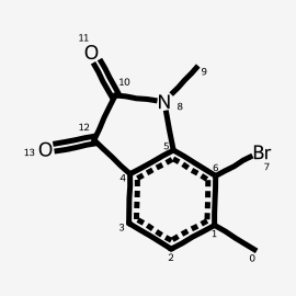 Cc1ccc2c(c1Br)N(C)C(=O)C2=O